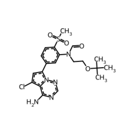 CC(C)(C)OCCN(C=O)c1cc(-c2cc(Cl)c3c(N)ncnn23)ccc1S(C)(=O)=O